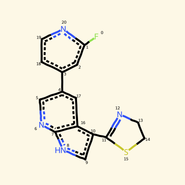 Fc1cc(-c2cnc3[nH]cc(C4=NCCS4)c3c2)ccn1